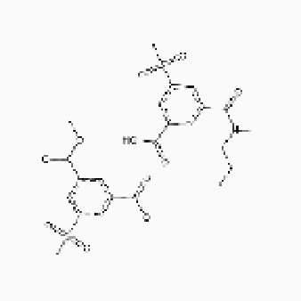 CCCN(C)C(=O)c1cc(C(=O)O)cc(S(C)(=O)=O)c1.COC(=O)c1cc(C(=O)OC)cc(S(C)(=O)=O)c1